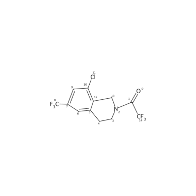 O=C(N1CCc2cc(C(F)(F)F)cc(Cl)c2C1)C(F)(F)F